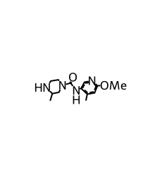 COc1cc(C)c(NC(=O)N2CCNC(C)C2)cn1